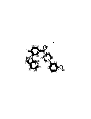 COc1cccc(N2CCN(C(=O)c3ccc(C)c(-n4nnc5cccnc54)c3)CC2)c1